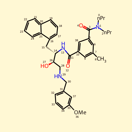 CCCN(CCC)C(=O)c1cc(C)cc(C(=O)N[C@@H](Cc2cccc3ccccc23)[C@H](O)CNCc2cccc(OC)c2)c1